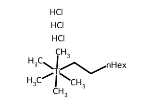 CCCCCCC[CH2][Ti]([CH3])([CH3])([CH3])([CH3])[CH3].Cl.Cl.Cl